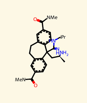 CNC(=O)c1ccc2c(c1)CCc1cc(C(=O)NC)ccc1C2(C[C@H](C)N)C(=N)NC(C)C